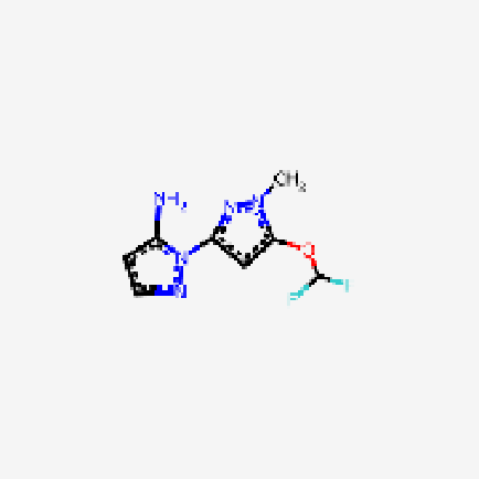 Cn1nc(-n2nccc2N)cc1OC(F)F